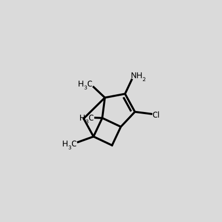 CC12CC3C(Cl)=C(N)C(C)(C1)C32C